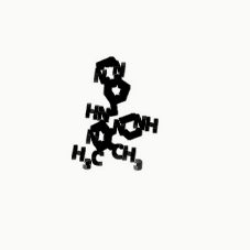 Cc1ncc(NCc2ccc3nccnc3c2)c(N2CCNCC2)c1C